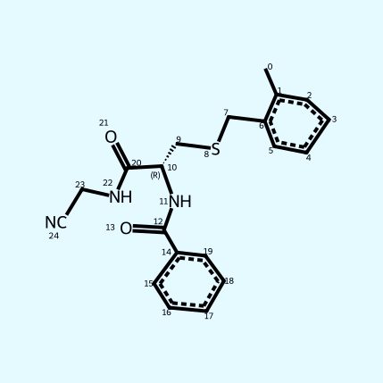 Cc1ccccc1CSC[C@H](NC(=O)c1ccccc1)C(=O)NCC#N